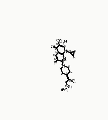 CC(C)NCC(Cl)=C1CCN(c2nc3c(cc2F)c(=O)c(C(=O)O)cn3C2CC2)CC1